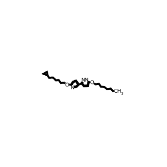 CCCCCCCCOc1ccc(-c2ccc(OCCCCCCC3CC3)nc2)nn1